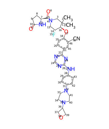 CC1(C)CN(C(=O)[C@@H]2CCC(=O)N2)C[C@@H](F)[C@@H]1Oc1ccc(-c2ncnc(Nc3ccc(N4CCN(C5COC5)CC4)cc3)n2)cc1C#N